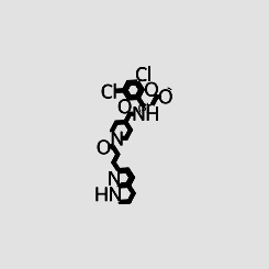 COC(=O)C[C@H](NC(=O)C1CCN(C(=O)CCc2ccc3c(n2)NCCC3)CC1)c1cc(Cl)cc(Cl)c1